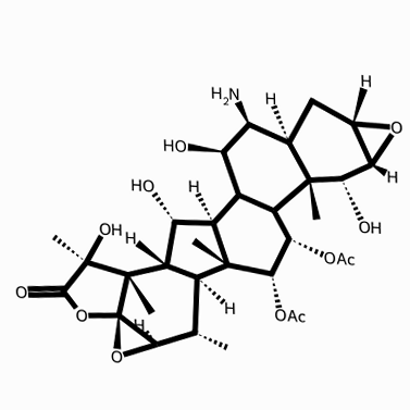 CC(=O)O[C@H]1C2C([C@@H](O)[C@@H](N)[C@H]3C[C@@H]4O[C@@H]4[C@H](O)[C@]23C)[C@@H]2[C@@H](O)[C@@H]3[C@H]([C@H](C)[C@H]4O[C@]45OC(=O)[C@@](C)(O)[C@]35C)[C@@]2(C)[C@H]1OC(C)=O